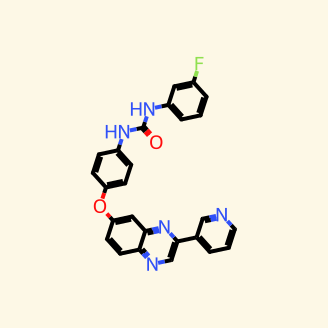 O=C(Nc1ccc(Oc2ccc3ncc(-c4cccnc4)nc3c2)cc1)Nc1cccc(F)c1